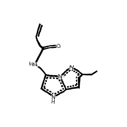 C=CC(=O)Nc1c[nH]c2cc(C)nn12